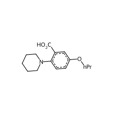 CCCOc1ccc(N2CCCCC2)c(C(=O)O)c1